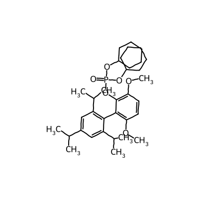 COc1ccc(OC)c(-c2c(C(C)C)cc(C(C)C)cc2C(C)C)c1OP(=O)(OC1CCCCC1)OC1CCCCC1